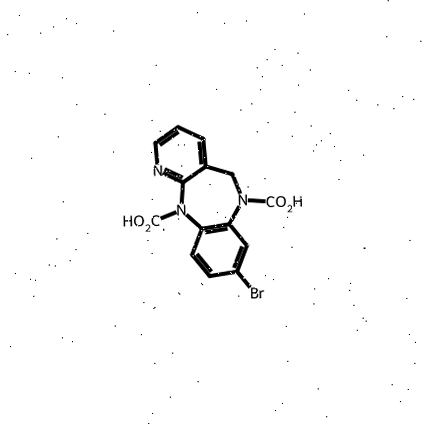 O=C(O)N1Cc2cccnc2N(C(=O)O)c2ccc(Br)cc21